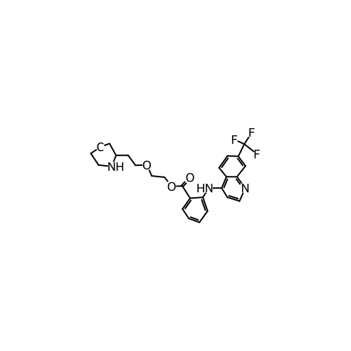 O=C(OCCOCCC1CCCCN1)c1ccccc1Nc1ccnc2cc(C(F)(F)F)ccc12